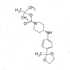 CC(C)(C)OC(=O)N1CCC(Nc2ccc(C3(C)OCCO3)cc2)CC1